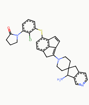 NC1c2cnccc2CC12CCN(C1=C3C=Cc4c(Sc5cccc(N6CCCC6=O)c5Cl)ccc(c43)C1)CC2